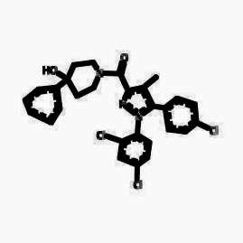 Cc1c(C(=O)N2CCC(O)(c3ccccc3)CC2)nn(-c2ccc(Cl)cc2Cl)c1-c1ccc(Cl)cc1